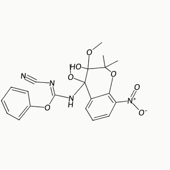 COC1(NC(=NC#N)Oc2ccccc2)c2cccc([N+](=O)[O-])c2OC(C)(C)C1(O)OC